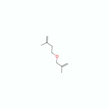 C=C(C)CCOCC(=C)C